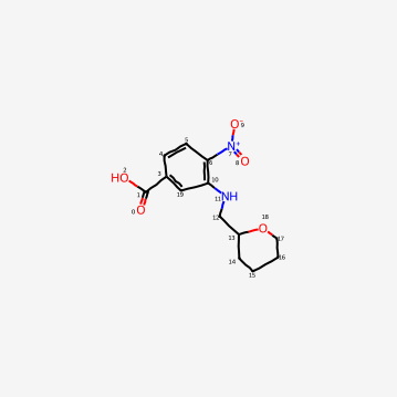 O=C(O)c1ccc([N+](=O)[O-])c(NCC2CCCCO2)c1